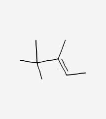 [CH2]C(C)(C)/C(C)=C/C